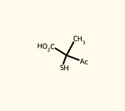 CC(=O)C(C)(S)C(=O)O